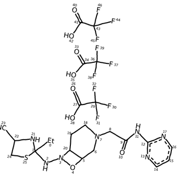 CCC1(NN2OC3CN(CC(=O)Nc4ncccn4)CCC32)NC(C#N)CS1.O=C(O)C(F)(F)F.O=C(O)C(F)(F)F.O=C(O)C(F)(F)F